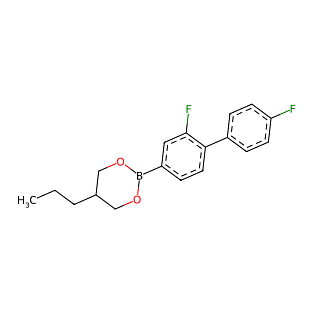 CCCC1COB(c2ccc(-c3ccc(F)cc3)c(F)c2)OC1